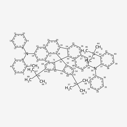 Cc1ccccc1N(c1ccccc1)c1ccc2c3c(ccc2c1)-c1ccc2cc(N(c4ccccc4)c4ccccc4[Si](C)(C)C)ccc2c1C31c2ccc(C(C)(C)C)cc2-c2cc(C(C)(C)C)ccc21